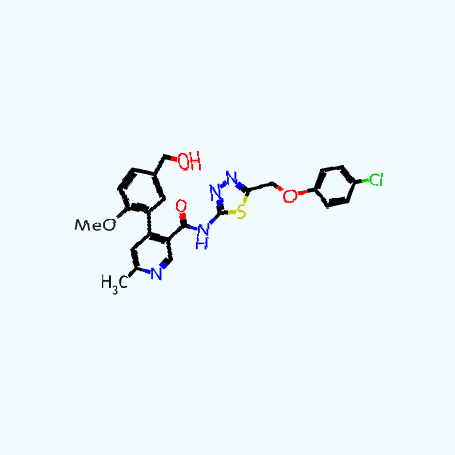 COc1ccc(CO)cc1-c1cc(C)ncc1C(=O)Nc1nnc(COc2ccc(Cl)cc2)s1